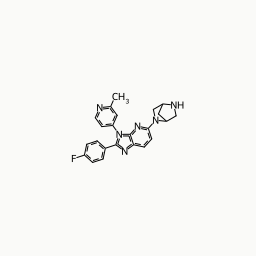 Cc1cc(-n2c(-c3ccc(F)cc3)nc3ccc(N4CC5CC4CN5)nc32)ccn1